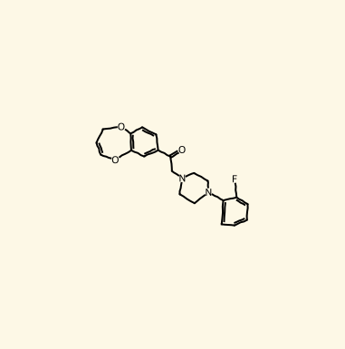 O=C(CN1CCN(c2ccccc2F)CC1)c1ccc2c(c1)OC=CCO2